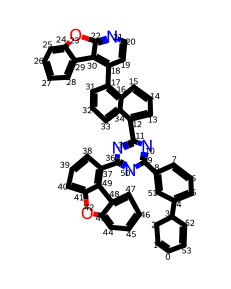 C1=CCC(c2cccc(-c3nc(-c4cccc5c(-c6ccnc7oc8ccccc8c67)cccc45)nc(-c4cccc5oc6ccccc6c45)n3)c2)C=C1